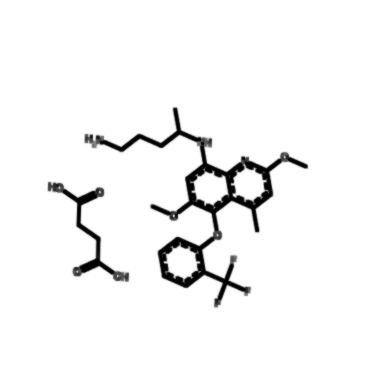 COc1cc(C)c2c(Oc3ccccc3C(F)(F)F)c(OC)cc(NC(C)CCCN)c2n1.O=C(O)CCC(=O)O